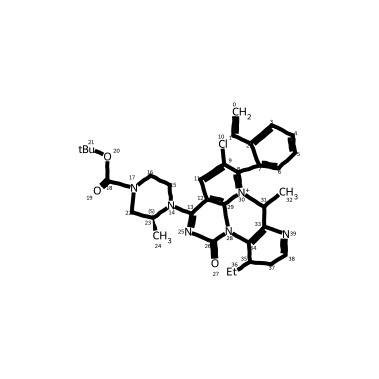 C=Cc1ccccc1-c1c(Cl)cc2c(N3CCN(C(=O)OC(C)(C)C)C[C@@H]3C)nc(=O)n3c2[n+]1C(C)C1=C3C(CC)CC=N1